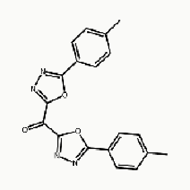 Cc1ccc(-c2nnc(C(=O)c3nnc(-c4ccc(C)cc4)o3)o2)cc1